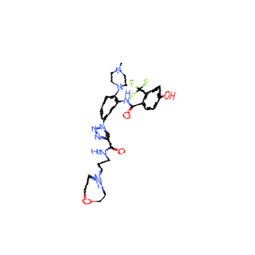 CN1CCN(c2ccc(-n3cc(C(=O)NCCCN4CCOCC4)nn3)cc2NC(=O)c2ccc(O)cc2C(F)(F)F)CC1